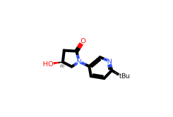 CC(C)(C)c1ccc(N2C[C@@H](O)CC2=O)cn1